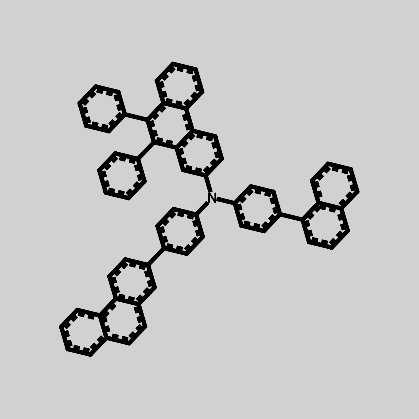 c1ccc(-c2c(-c3ccccc3)c3cc(N(c4ccc(-c5ccc6c(ccc7ccccc76)c5)cc4)c4ccc(-c5cccc6ccccc56)cc4)ccc3c3ccccc23)cc1